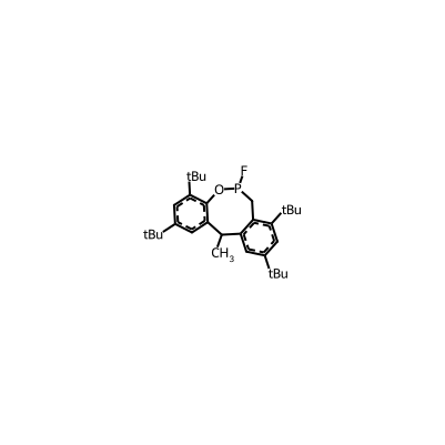 CC1c2cc(C(C)(C)C)cc(C(C)(C)C)c2CP(F)Oc2c1cc(C(C)(C)C)cc2C(C)(C)C